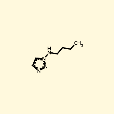 CCCCNn1c[c]nn1